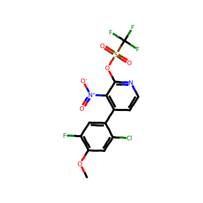 COc1cc(Cl)c(-c2ccnc(OS(=O)(=O)C(F)(F)F)c2[N+](=O)[O-])cc1F